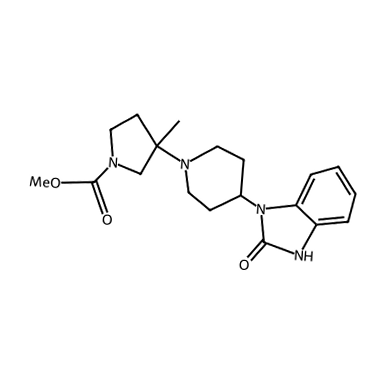 COC(=O)N1CCC(C)(N2CCC(n3c(=O)[nH]c4ccccc43)CC2)C1